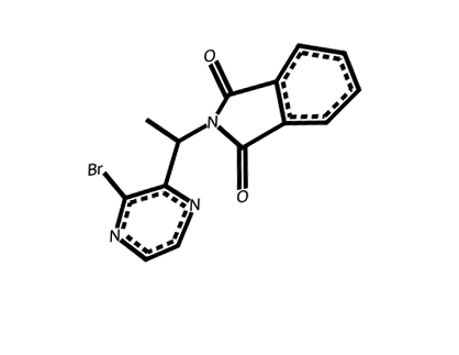 CC(c1nccnc1Br)N1C(=O)c2ccccc2C1=O